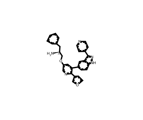 N[C@H](COc1cnc(-c2ccoc2)c(-c2ccc3[nH]nc(-c4ccncc4)c3c2)c1)Cc1ccccc1